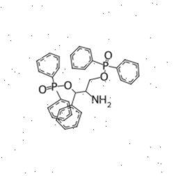 NC(COP(=O)(c1ccccc1)c1ccccc1)C(OP(=O)(c1ccccc1)c1ccccc1)c1ccccc1